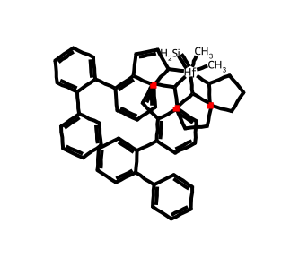 [CH3][Hf]([CH3])(=[SiH2])([CH]1CCCC1)([CH]1CCCC1)([CH]1C=Cc2c(-c3ccccc3-c3ccccc3)cccc21)[CH]1C=Cc2c(-c3ccccc3-c3ccccc3)cccc21